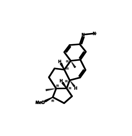 CO[C@@H]1CC[C@H]2[C@@H]3C=CC4=CC(=N[N])C=C[C@]4(C)[C@H]3CC[C@]12C